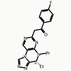 CC[C@@H]1c2nncn2-c2cnc(CC(=O)c3ccc(F)cc3)nc2N1C(C)C